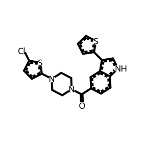 O=C(c1ccc2[nH]cc(-c3cccs3)c2c1)N1CCN(c2ccc(Cl)s2)CC1